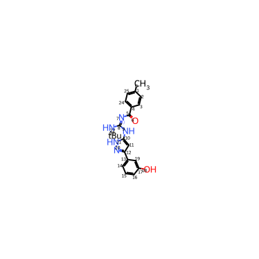 Cc1ccc(C(=O)/N=C(\Nc2cc(-c3cccc(O)c3)n[nH]2)NC(C)(C)C)cc1